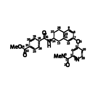 CNC(=O)c1cc(Oc2ccc3c(c2)CC(NC(=O)c2ccc(C(=O)OC)cc2)CC3)ccn1